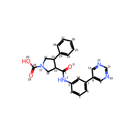 O=C(Nc1cccc(-c2cncnc2)c1)C1CN(C(=O)O)CC1c1ccccc1